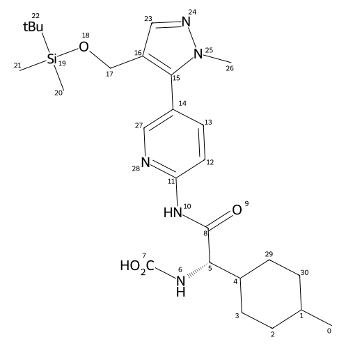 CC1CCC([C@H](NC(=O)O)C(=O)Nc2ccc(-c3c(CO[Si](C)(C)C(C)(C)C)cnn3C)cn2)CC1